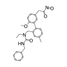 CCN(Cc1cc(C)ccc1-c1cc(CC(=O)N=O)ccc1OC)C(=O)NCc1ccccc1